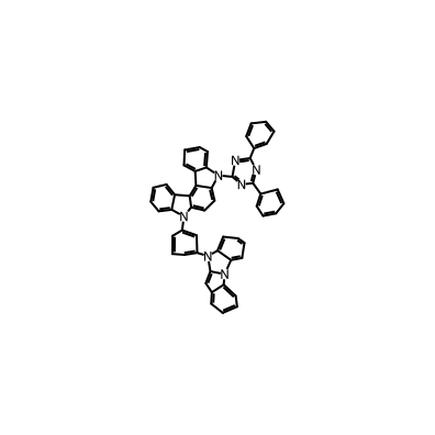 c1ccc(-c2nc(-c3ccccc3)nc(-n3c4ccccc4c4c5c6ccccc6n(-c6cccc(-n7c8ccccc8n8c9ccccc9cc78)c6)c5ccc43)n2)cc1